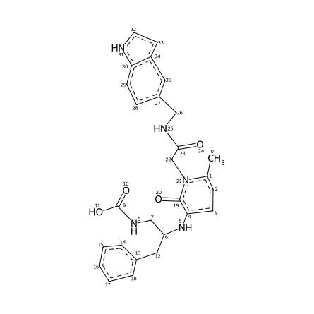 Cc1ccc(NC(CNC(=O)O)Cc2ccccc2)c(=O)n1CC(=O)NCc1ccc2[nH]ccc2c1